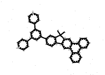 CC1(C)c2cc(-c3cc(-c4ccncc4)cc(-c4ccncc4)c3)ccc2-c2cc3c4ccccc4c4ccccc4c3cc21